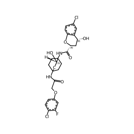 O=C(COc1ccc(Cl)c(F)c1)NC12CCC(NC(=O)[C@H]3C[C@@H](O)c4cc(Cl)ccc4O3)(CC1)[C@@H](O)C2